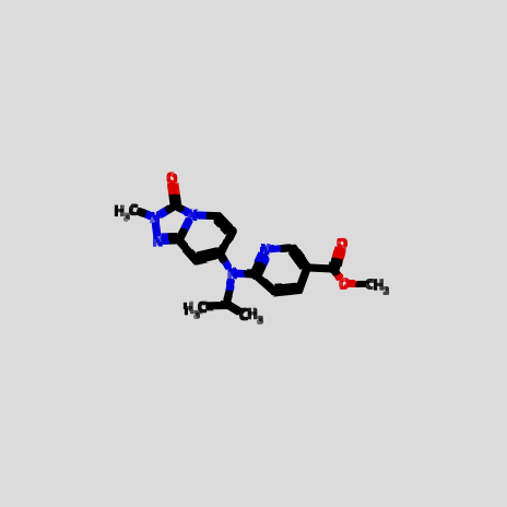 COC(=O)c1ccc(N(c2ccn3c(=O)n(C)nc3c2)C(C)C)nc1